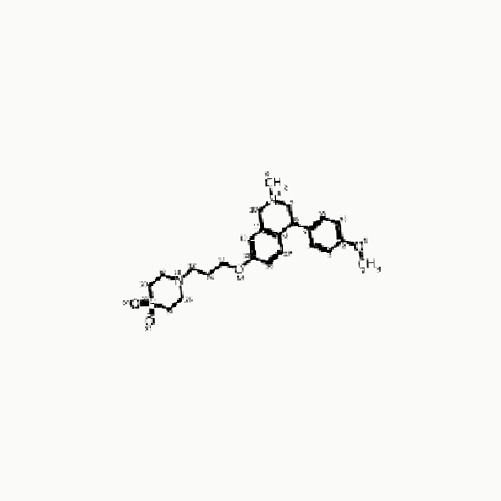 COc1ccc(C2CN(C)Cc3cc(OCCCN4CCS(=O)(=O)CC4)ccc32)cc1